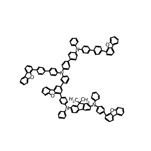 CC1(C)c2cc(N(c3ccccc3)c3ccc(-c4cccc5c4oc4ccccc45)cc3)ccc2-c2ccc(N(c3ccccc3)c3ccc(-c4cc(-c5cccc(N(c6ccc(-c7ccc(-c8cccc9c8oc8ccccc89)cc7)cc6)c6ccc(-c7ccc(N(c8ccccc8)c8ccc(-c9ccc(-c%10cccc%11c%10oc%10ccccc%10%11)cc9)cc8)cc7)cc6)c5)cc5c4oc4ccccc45)cc3)cc21